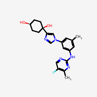 Cc1cc(Nc2ncc(F)c(C)n2)cc(-n2cnc([C@]3(O)CC[C@@H](O)CC3)c2)c1